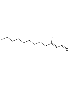 CCCCCCCCC/C(C)=C/C=O